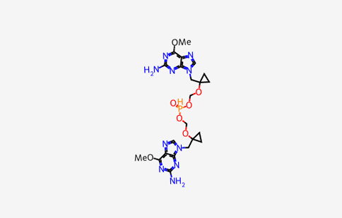 COc1nc(N)nc2c1ncn2CC1(OCO[PH](=O)OCOC2(Cn3cnc4c(OC)nc(N)nc43)CC2)CC1